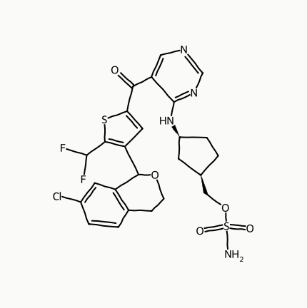 NS(=O)(=O)OC[C@@H]1CC[C@H](Nc2ncncc2C(=O)c2cc(C3OCCc4ccc(Cl)cc43)c(C(F)F)s2)C1